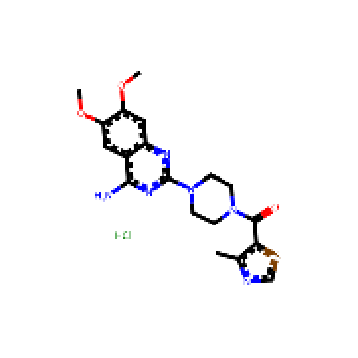 COc1cc2nc(N3CCN(C(=O)c4scnc4C)CC3)nc(N)c2cc1OC.Cl